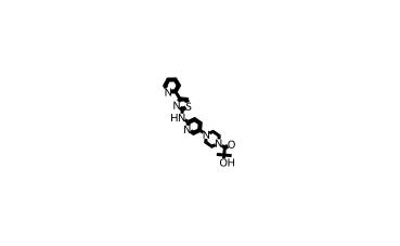 CC(C)(O)C(=O)N1CCN(c2ccc(Nc3nc(-c4ccccn4)cs3)nc2)CC1